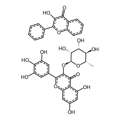 C[C@@H]1O[C@@H](Oc2c(-c3cc(O)c(O)c(O)c3)oc3cc(O)cc(O)c3c2=O)[C@H](O)[C@H](O)[C@H]1O.O=c1c(O)c(-c2ccccc2)oc2ccccc12